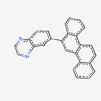 c1ccc2c(c1)ccc1c3ccccc3c(-c3ccc4nccnc4c3)cc21